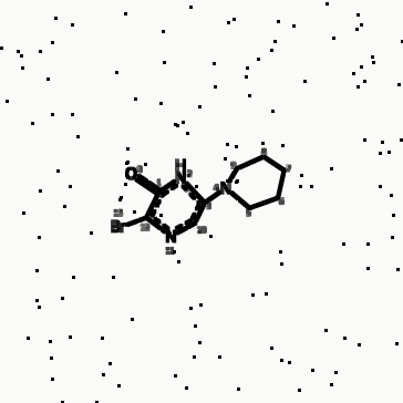 O=c1[nH]c(N2CCCCC2)cnc1Br